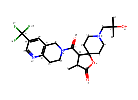 CC1C(=O)OC2(CCN(CC(C)(C)O)CC2)C1C(=O)N1CCc2ncc(C(F)(F)F)cc2C1